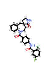 O=C(Nc1ccc(C(=O)N2CCC3(CCNC3=O)Cc3ccccc32)cc1)c1cc(F)ccc1Cl